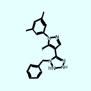 Cc1cc(C)cc(-n2ncc(C3=NNNN3Cc3ccccc3)c2I)c1